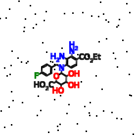 CCOC(=O)c1ccc(N(Cc2ccc(F)cc2)C2OC(C(=O)O)C(O)C(O)C2O)c(N)c1N